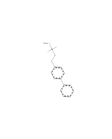 CCCNC(C)(C)CCc1ccc(-c2ccccc2)cc1